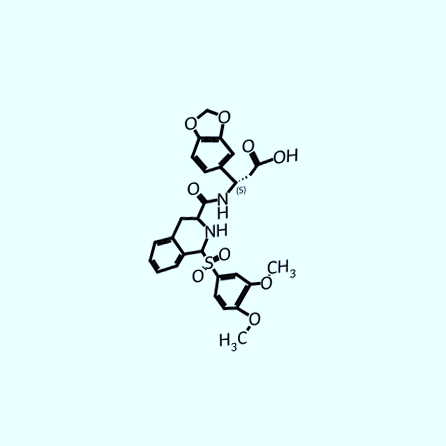 COc1ccc(S(=O)(=O)C2NC(C(=O)N[C@@H](CC(=O)O)c3ccc4c(c3)OCO4)Cc3ccccc32)cc1OC